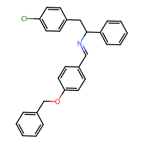 Clc1ccc(CC(N=Cc2ccc(OCc3ccccc3)cc2)c2ccccc2)cc1